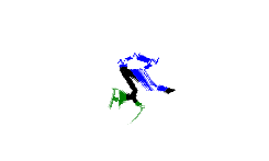 Cn1nnnc1C(F)F